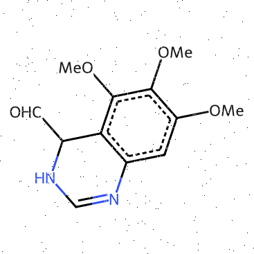 COc1cc2c(c(OC)c1OC)C(C=O)NC=N2